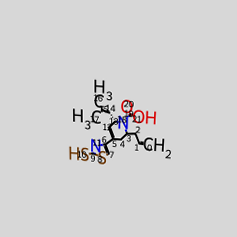 C=CCC1CC(c2csc(S)n2)=C[C@H](CC(C)C)N1C(=O)O